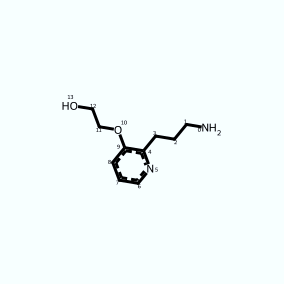 NCCCc1ncccc1OCCO